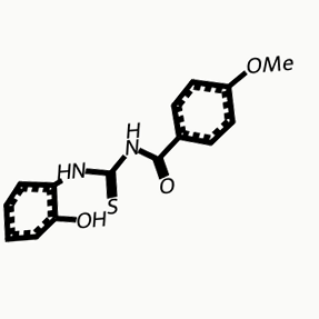 COc1ccc(C(=O)NC(=S)Nc2ccccc2O)cc1